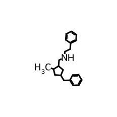 CC1CC(Cc2ccccc2)CC1CNCCc1ccccc1